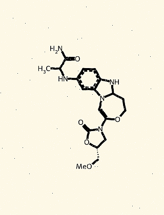 COC[C@H]1CN(C2=CN3c4cc(NC(C)C(N)=O)ccc4NC3CCO2)C(=O)O1